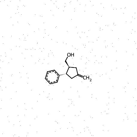 C=C1C[C@H](CO)[C@@H](c2ccccc2)C1